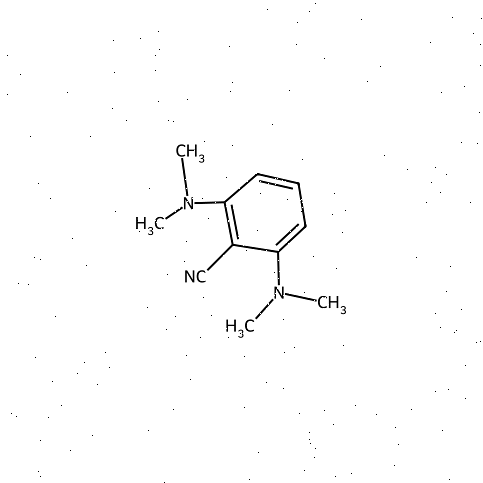 CN(C)c1cccc(N(C)C)c1C#N